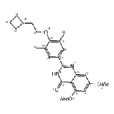 COc1cc(OC)c2c(=O)[nH]c(-c3cc(C)c(OCCN4CCC4)c(C)c3)nc2c1